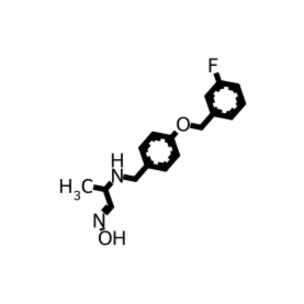 CC(C=NO)NCc1ccc(OCc2cccc(F)c2)cc1